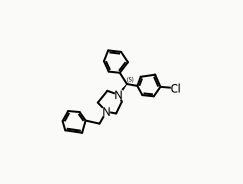 Clc1ccc([C@H](c2ccccc2)N2CCN(Cc3ccccc3)CC2)cc1